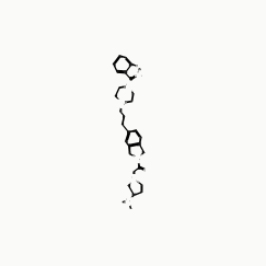 CN(C)C1CCN(CC(=O)N2Cc3ccc(CCCN4CCN(c5nsc6ccccc56)CC4)cc3C2)C1